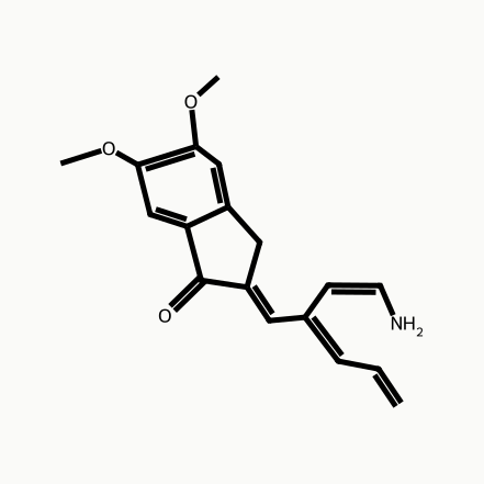 C=C/C=C(\C=C/N)/C=C1\Cc2cc(OC)c(OC)cc2C1=O